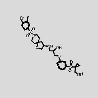 Cc1cc(S(=O)(=O)N2CCC3(CC2)CC(NCC(O)COc2cccc(S(=O)(=O)C4(CO)CC4)c2)CO3)ccc1Br